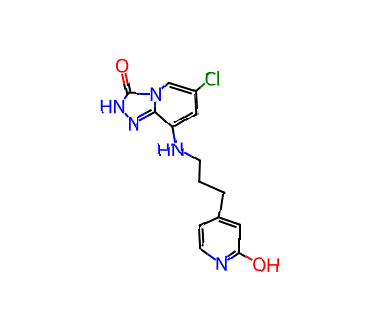 O=c1[nH]nc2c(NCCCc3ccnc(O)c3)cc(Cl)cn12